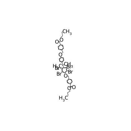 CCCCOC(=O)c1ccc(COc2ccc(C(C)(C)c3c(Br)c(Br)c(OCc4ccc(C(=O)OCCCC)cc4)c(Br)c3Br)cc2)cc1